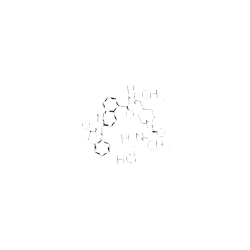 CC(NC(=O)c1cccc2nc(N3C(=O)Cc4ccccc43)ccc12)C1CCN(C(=O)[C@H](C)N)CC1.Cl